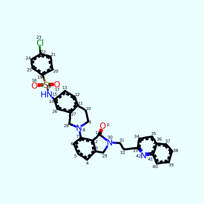 O=C1c2c(cccc2N2CCc3ccc(NS(=O)(=O)c4ccc(Cl)cc4)cc3C2)CN1CCc1ccc2ccccc2n1